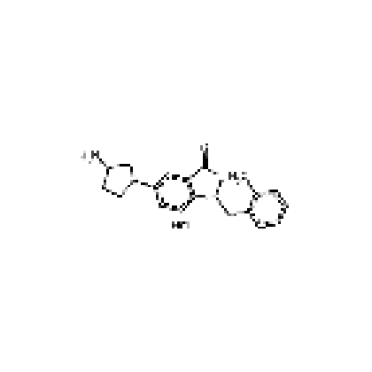 Cc1ccccc1CC1OC(=O)c2cc(N3CC[C@@H](N)C3)ccc21.Cl